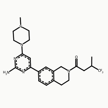 CC(CC(=O)N1CCc2ccc(-c3cc(N4CCN(C)CC4)nc(N)n3)cc2C1)C(F)(F)F